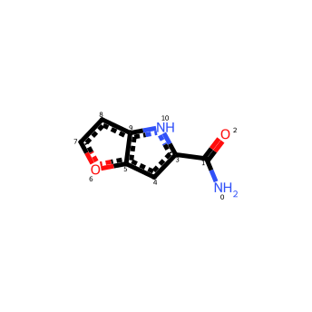 NC(=O)c1cc2occc2[nH]1